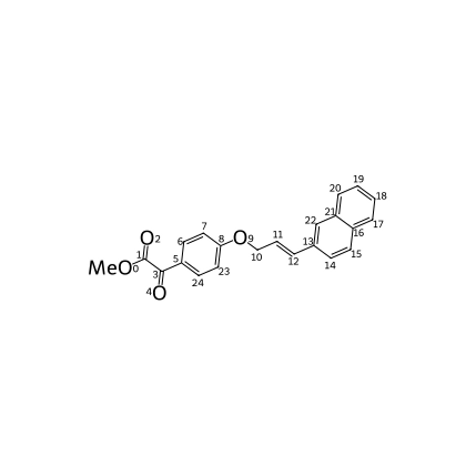 COC(=O)C(=O)c1ccc(OCC=Cc2ccc3ccccc3c2)cc1